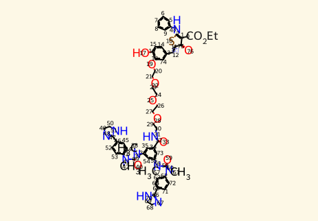 CCOC(=O)C1=C(Nc2ccccc2)S/C(=C\c2ccc(O)c(OCCOCCOCCOCCNC(=O)c3cc(N(C)C(=O)N(C)c4ccc(C5=NCCN5)cc4)cc(N(C)C(=O)N(C)c4ccc(C5=NCCN5)cc4)c3)c2)C1=O